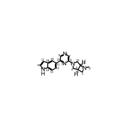 CN1C[C@H]2CN(c3cncc(-c4ccc5[nH]ccc5c4)n3)C[C@@H]21